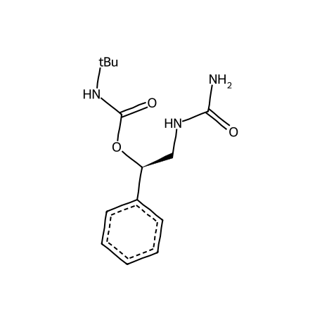 CC(C)(C)NC(=O)O[C@@H](CNC(N)=O)c1ccccc1